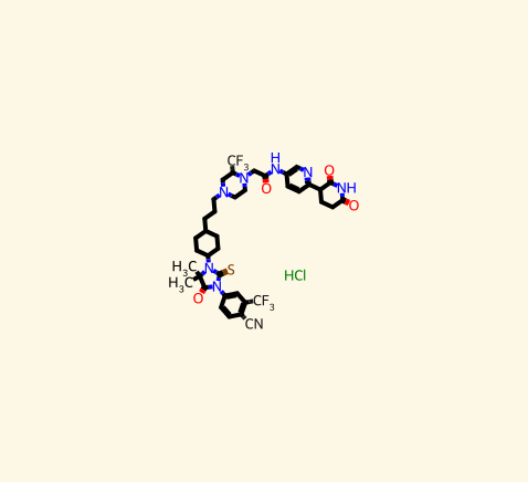 CC1(C)C(=O)N(c2ccc(C#N)c(C(F)(F)F)c2)C(=S)N1C1CCC(CCCN2CCN(CC(=O)Nc3ccc(C4CCC(=O)NC4=O)nc3)C(C(F)(F)F)C2)CC1.Cl